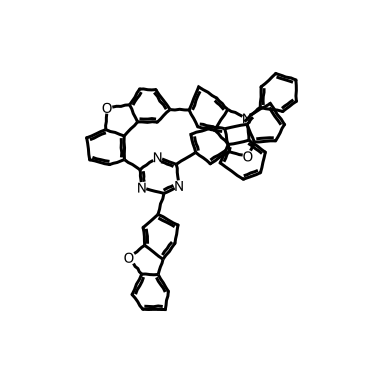 c1ccc(-n2c3ccccc3c3cc(-c4ccc5oc6cccc(-c7nc(-c8ccc9c(c8)oc8ccccc89)nc(-c8ccc9c(c8)oc8ccccc89)n7)c6c5c4)ccc32)cc1